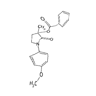 COc1ccc(N2CCC(C)(OC(=O)c3ccccc3)C2=O)cc1